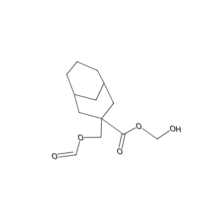 O=COCC1(C(=O)OCO)CC2CCCC(C2)C1